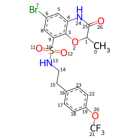 CC1Oc2c(cc(Br)cc2S(=O)(=O)NCCc2ccc(OC(F)(F)F)cc2)NC1=O